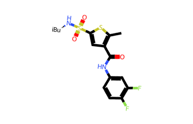 CC[C@@H](C)NS(=O)(=O)c1cc(C(=O)Nc2ccc(F)c(F)c2)c(C)s1